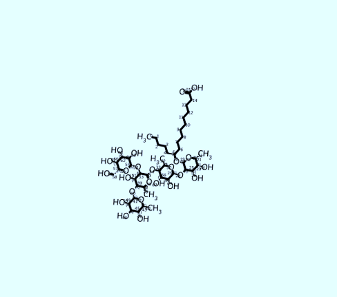 CCCCC[C@@H](CCCCCCCCCC(=O)O)O[C@@H]1O[C@H](C)[C@H](O)[C@H](O)[C@H]1O[C@@H]1O[C@@H](C)[C@H](O[C@@H]2O[C@@H](C)[C@H](O[C@@H]3O[C@@H](C)[C@H](O)[C@@H](O)[C@H]3O)[C@@H](O)[C@H]2O[C@@H]2O[C@H](CO)[C@@H](O)[C@H](O)[C@H]2O)[C@@H](O)[C@H]1O